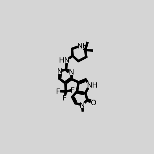 Cn1ccc2c(-c3nc(NC4CCC(C)(C)NC4)ncc3C(F)(F)F)c[nH]c2c1=O